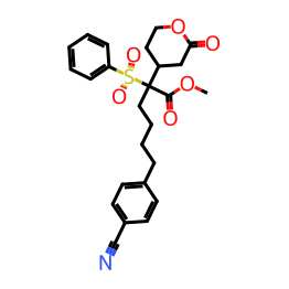 COC(=O)C(CCCCc1ccc(C#N)cc1)(C1CCOC(=O)C1)S(=O)(=O)c1ccccc1